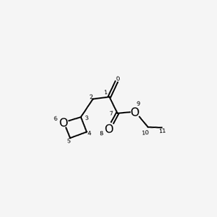 C=C(CC1CCO1)C(=O)OCC